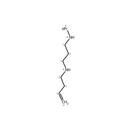 C=CCCNCCCNCCC